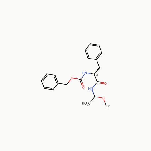 CC(C)OC(NC(=O)[C@H](Cc1ccccc1)NC(=O)OCc1ccccc1)C(=O)O